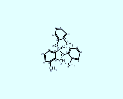 Cc1ccccc1OP(=O)(Oc1ccccc1C)c1cccc(C)c1C